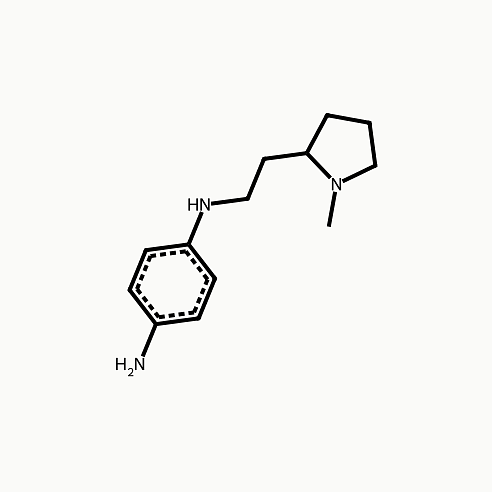 CN1CCCC1CCNc1ccc(N)cc1